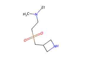 CCN(C)CCS(=O)(=O)CC1CNC1